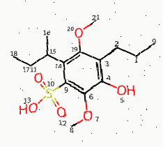 CCCc1c(O)c(OC)c(S(=O)(=O)O)c(C(C)CC)c1OC